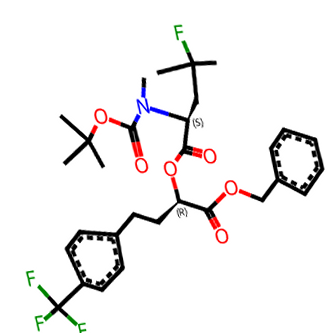 CN(C(=O)OC(C)(C)C)[C@@H](CC(C)(C)F)C(=O)O[C@H](CCc1ccc(C(F)(F)F)cc1)C(=O)OCc1ccccc1